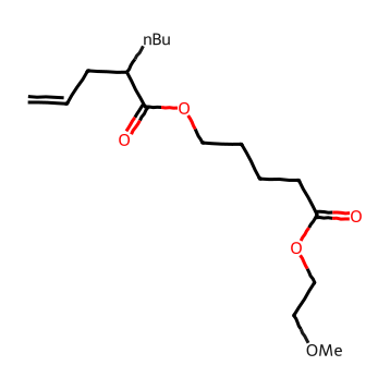 C=CCC(CCCC)C(=O)OCCCCC(=O)OCCOC